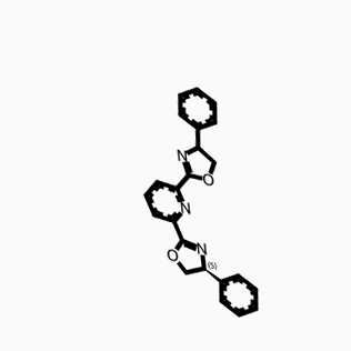 c1ccc(C2COC(c3cccc(C4=N[C@@H](c5ccccc5)CO4)n3)=N2)cc1